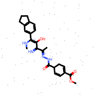 CN/C(=C(/O)C(=N)/C(C)=N/NC(=O)C1C=CC(C(=O)OC)=CC1)c1ccc2c(c1)CCC2